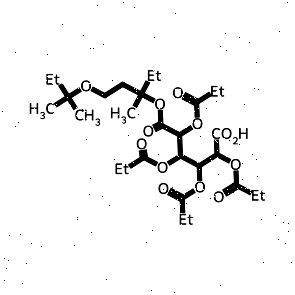 CCC(=O)OC(C(=O)O)C(OC(=O)CC)C(OC(=O)CC)C(OC(=O)CC)C(=O)OC(C)(CC)CCOC(C)(C)CC